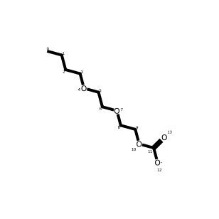 CCCCOCCOCCOC([O])=O